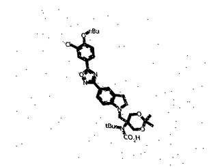 CCCCOc1ccc(-c2nc(-c3ccc4c(c3)CCN4CC3(N(C(=O)O)C(C)(C)C)COC(C)(C)OC3)no2)cc1Cl